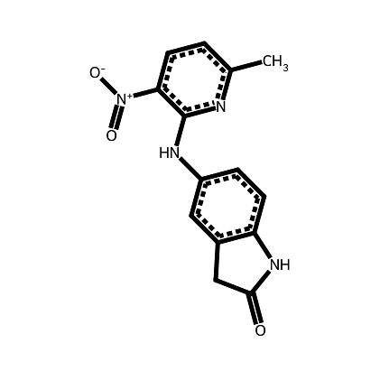 Cc1ccc([N+](=O)[O-])c(Nc2ccc3c(c2)CC(=O)N3)n1